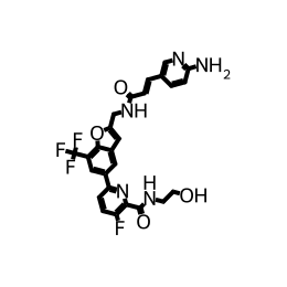 Nc1ccc(/C=C/C(=O)NCc2cc3cc(-c4ccc(F)c(C(=O)NCCO)n4)cc(C(F)(F)F)c3o2)cn1